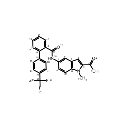 Cn1c(C(=O)O)cc2cc(NC(=O)c3cccnc3-c3ccc(C(F)(F)F)cc3)ccc21